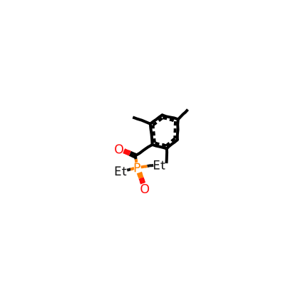 CCP(=O)(CC)C(=O)c1c(C)cc(C)cc1C